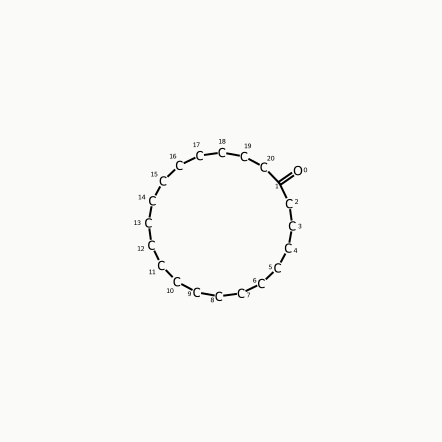 O=C1CCCCCCCCCCCCCCCCCCC1